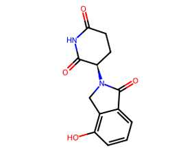 O=C1CC[C@@H](N2Cc3c(O)cccc3C2=O)C(=O)N1